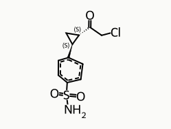 NS(=O)(=O)c1ccc([C@H]2C[C@@H]2C(=O)CCl)cc1